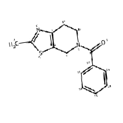 Cc1nc2c(s1)CN(C(=O)c1ccccc1)CC2